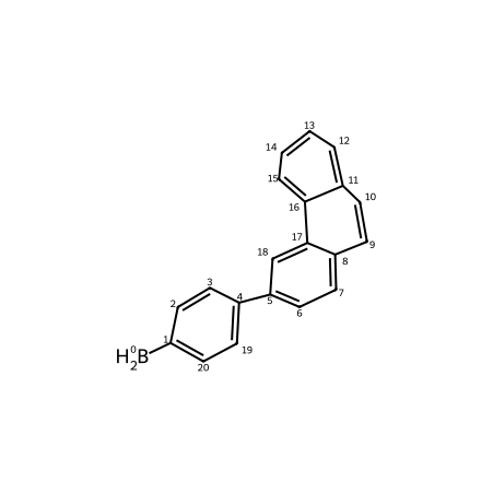 Bc1ccc(-c2ccc3ccc4ccccc4c3c2)cc1